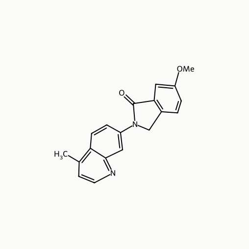 COc1ccc2c(c1)C(=O)N(c1ccc3c(C)ccnc3c1)C2